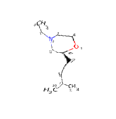 CCN1CCO[C@@H](CCC(C)C)C1